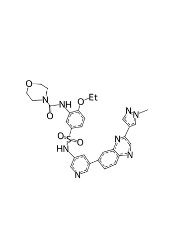 CCOc1ccc(S(=O)(=O)Nc2cncc(-c3ccc4ncc(-c5cnn(C)c5)nc4c3)c2)cc1NC(=O)N1CCOCC1